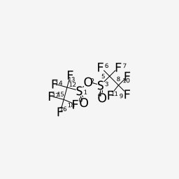 O=S(OS(=O)C(F)(F)C(F)(F)F)C(F)(F)C(F)(F)F